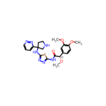 COc1ccc([C@H](OC)C(=O)Nc2nnc(NC3(c4cccnn4)CCNC3)s2)cc1OC